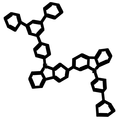 c1ccc(-c2ccc(-n3c4ccccc4c4ccc(-c5ccc6c7ccccc7n(-c7ccc(-c8cc(-c9ccccc9)cc(-c9ccccc9)c8)cc7)c6c5)cc43)cc2)cc1